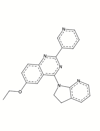 CCOc1ccc2nc(-c3cccnc3)nc(N3CCc4cccnc43)c2c1